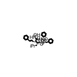 CC(C)C[C@@H](C(=O)NN(c1ccccc1)S(=O)(=O)Cc1ccccc1)[C@H](CC=Cc1ccccc1)C(=O)NO